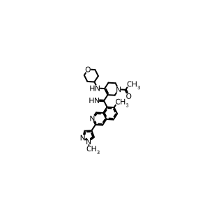 CC(=O)N1CCC(NC2CCOCC2)=C(C(=N)c2c(C)ccc3cc(-c4cnn(C)c4)ncc23)C1